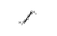 COCCOCCOCCOCN